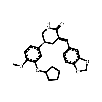 COc1ccc([C@H]2CNC(=O)/C(=C/c3ccc4c(c3)OCO4)C2)cc1OC1CCCC1